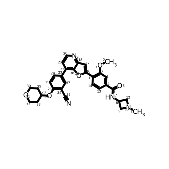 COc1cc(C(=O)NC2CN(C)C2)ccc1-c1cc2nccc(-c3ccc(OC4CCOCC4)c(C#N)c3)c2o1